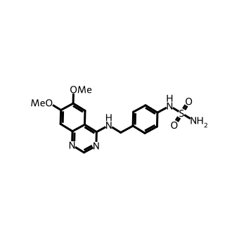 COc1cc2ncnc(NCc3ccc(NS(N)(=O)=O)cc3)c2cc1OC